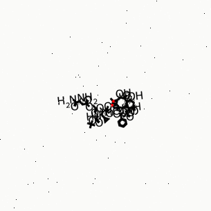 CC(=O)O[C@@]12OO[C@@H]1C[C@H](O)[C@@]1(C)C(=O)[C@H](O)C3=C(C)[C@@H](OC(=O)[C@H](OC(=O)COC(=O)C[C@H](N)C(N)=O)[C@@H](NC(=O)OC(C)(C)C)C4CC4)CC(O)([C@@H](OC(=O)c4ccccc4)[C@H]21)C3(C)C